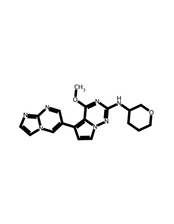 COc1nc(NC2CCCOC2)nn2ccc(-c3cnc4nccn4c3)c12